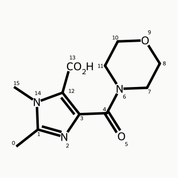 Cc1nc(C(=O)N2CCOCC2)c(C(=O)O)n1C